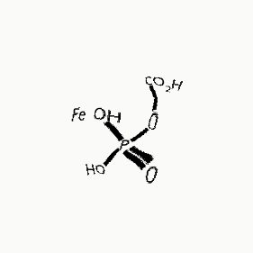 O=C(O)OP(=O)(O)O.[Fe]